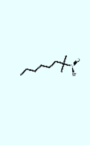 CCCCCCC(C)(C)[N+](=O)[O-]